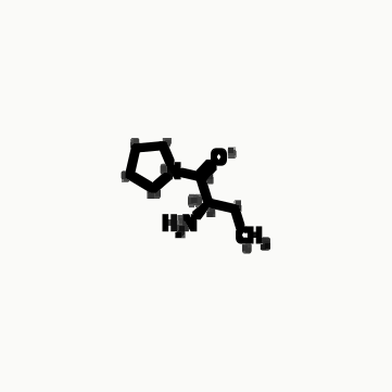 CC[C@@H](N)C(=O)N1CCCC1